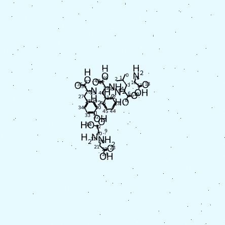 CC(C)C[C@H](N)C(=O)O.C[C@H](N)C(=O)O.NCC(=O)O.NCC(=O)O.N[C@@H](Cc1ccc(O)cc1)C(=O)O.N[C@@H](Cc1ccccc1)C(=O)O